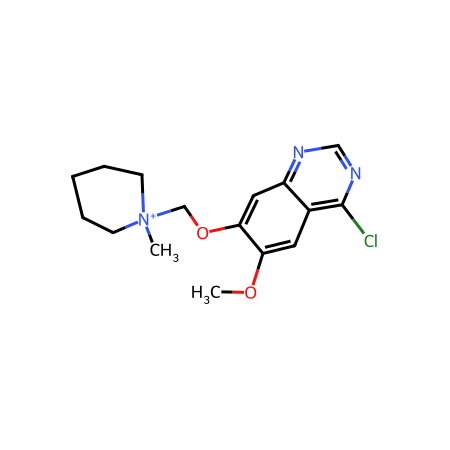 COc1cc2c(Cl)ncnc2cc1OC[N+]1(C)CCCCC1